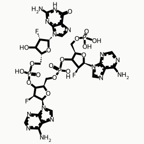 Nc1nc2c(ncn2[C@@H]2O[C@H](COP(=O)(O)OC3[C@@H](COP(=O)(O)OC4[C@@H](COP(=O)(O)O)O[C@@H](n5cnc6c(N)ncnc65)[C@H]4F)O[C@@H](n4cnc5c(N)ncnc54)[C@H]3F)C(O)[C@@H]2F)c(=O)[nH]1